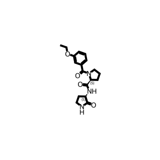 CCOc1cccc(C(=O)N2CCC[C@H]2C(=O)N[C@H]2CCNC2=O)c1